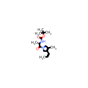 C/C=C\C1=C(C)CN(C(=O)[C@@H](C)NC(=O)OC(C)(C)C)C1